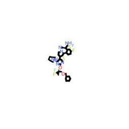 N#Cc1c(N)sc2c(F)ccc(-c3nccc4c3sc3nc(OC[C@]5(COCc6ccccc6)CC5(F)F)nc(N5CC6CCC(C5)N6)c34)c12